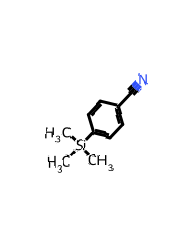 C[Si](C)(C)c1ccc(C#N)cc1